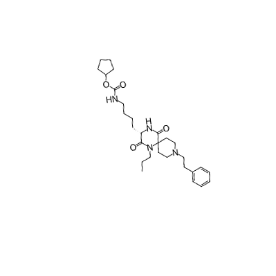 CCCN1C(=O)[C@H](CCCCNC(=O)OC2CCCC2)NC(=O)C12CCN(CCc1ccccc1)CC2